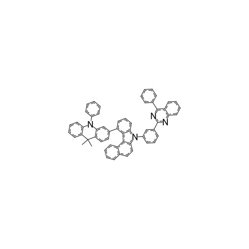 CC1(C)c2ccccc2N(c2ccccc2)c2cc(-c3cccc4c3c3c5ccccc5ccc3n4-c3cccc(-c4nc(-c5ccccc5)c5ccccc5n4)c3)ccc21